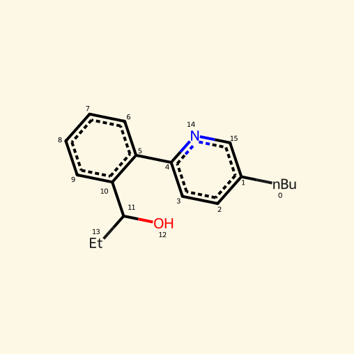 CCCCc1ccc(-c2ccccc2C(O)CC)nc1